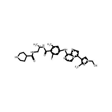 Cc1cc(Nc2nccn3c(-c4cn(CC#N)nc4C(F)(F)F)cnc23)cc(F)c1C(=O)N[C@H](C)CNC(=O)C1CCNCC1